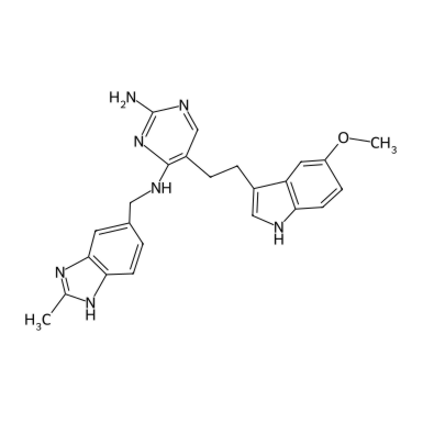 COc1ccc2[nH]cc(CCc3cnc(N)nc3NCc3ccc4[nH]c(C)nc4c3)c2c1